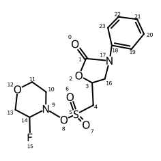 O=C1OC(CS(=O)(=O)ON2CCOCC2F)CN1c1ccccc1